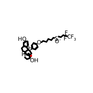 C[C@]12C[C@H](c3ccc(OCCCCCC[S+]([O-])CCCC(F)(F)C(F)(F)F)cc3)[C@@H]3c4ccc(O)cc4CC[C@H]3[C@]13CC[C@]2(O)CC3